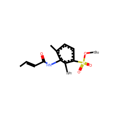 CC=CC(=O)Nc1c(C)ccc(S(=O)(=O)OC(C)(C)C)c1CCC